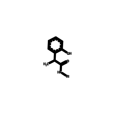 CCNC(=O)C(C)c1ccccc1O